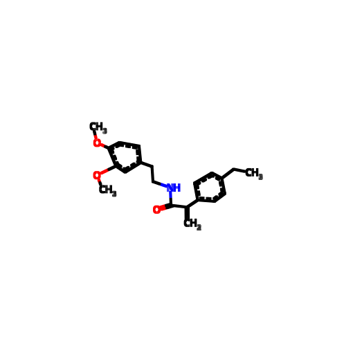 C=C(C(=O)NCCc1ccc(OC)c(OC)c1)c1ccc(CC)cc1